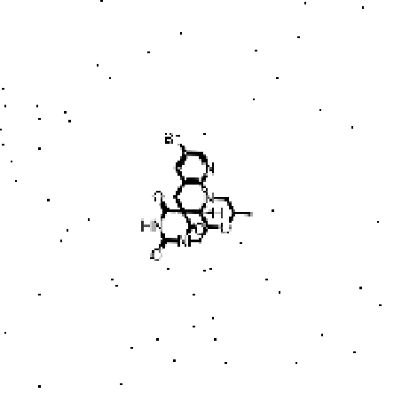 C[C@@H]1CN2c3ncc(Br)cc3CC3(C(=O)NC(=O)NC3=O)[C@H]2[C@H](C)O1